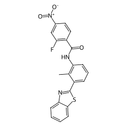 Cc1c(NC(=O)c2ccc([N+](=O)[O-])cc2F)cccc1-c1nc2ccccc2s1